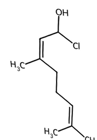 CC(C)=CCC/C(C)=C\C(O)Cl